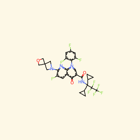 O=C(NC(C1CC1)(C1CC1)C(F)(F)C(F)(F)F)c1cn(-c2c(F)cc(F)cc2F)c2nc(N3CC4(COC4)C3)c(F)cc2c1=O